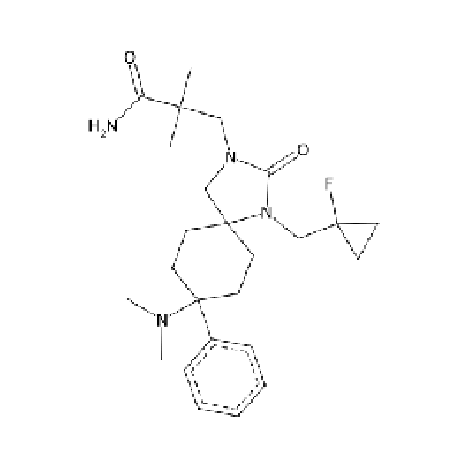 CN(C)C1(c2ccccc2)CCC2(CC1)CN(CC(C)(C)C(N)=O)C(=O)N2CC1(F)CC1